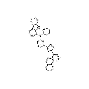 c1ccc(N(c2cccc(-c3nsc(-c4cccc5c4ccc4ccccc45)n3)c2)c2cccc3c2oc2ccccc23)cc1